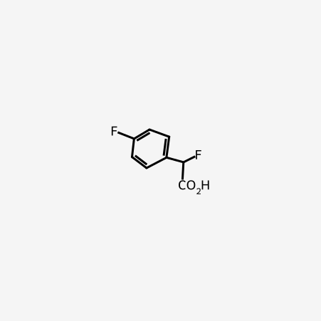 O=C(O)C(F)c1ccc(F)cc1